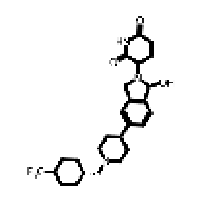 O=C1CCC(N2Cc3cc(C4CCN(C[C@H]5CC[C@H](C(F)(F)F)CC5)CC4)ccc3C2O)C(=O)N1